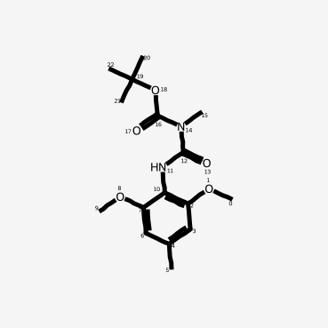 COc1cc(C)cc(OC)c1NC(=O)N(C)C(=O)OC(C)(C)C